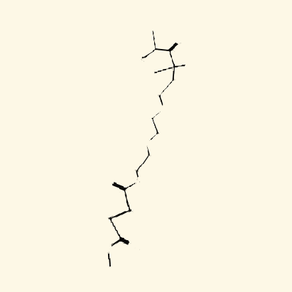 COC(=O)CCC(=O)NCCOCCOCCC(C)(C)C(=O)C(C)C